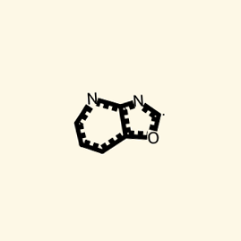 [c]1nc2ncccc2o1